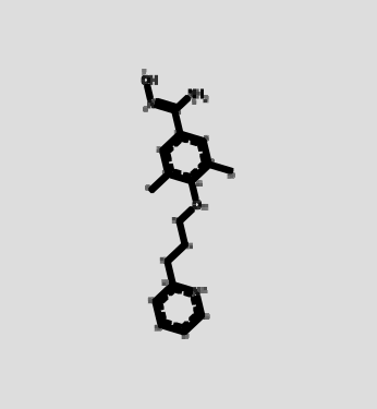 Cc1cc(C(N)=NO)cc(C)c1OCCCc1ccccn1